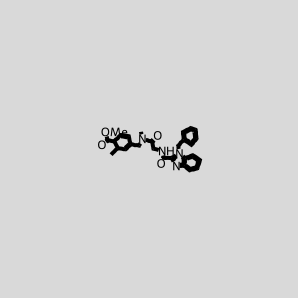 COC(=O)C1C=CC(CN(C)C(=O)CNC(=O)c2nc3ccccc3n2Cc2ccccc2)=CC1C